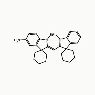 CCC[N+]1=C(C=C2N(CC)c3ccc([N+](=O)[O-])cc3C23CCCCC3)C2(CCCCC2)c2ccccc21